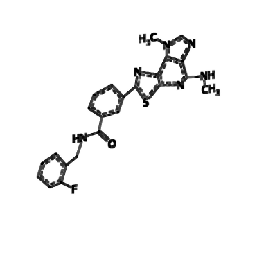 CNc1nc2sc(-c3cccc(C(=O)NCc4ccccc4F)c3)nc2c2c1ncn2C